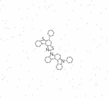 c1ccc(-c2cc3sc(-n4c5ccccc5c5c6c7ccccc7n(-c7ccccc7)c6ccc54)nc3c3c2sc2ccccc23)cc1